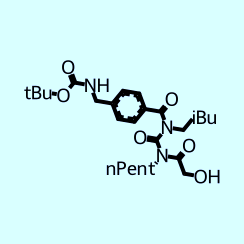 CCCCCN(C(=O)CO)C(=O)N(CC(C)CC)C(=O)c1ccc(CNC(=O)OC(C)(C)C)cc1